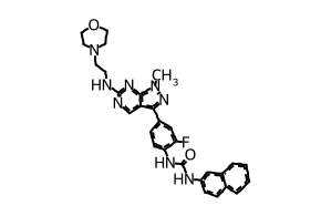 Cn1nc(-c2ccc(NC(=O)Nc3ccc4ccccc4c3)c(F)c2)c2cnc(NCCN3CCOCC3)nc21